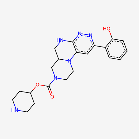 O=C(OC1CCNCC1)N1CCN2c3cc(-c4ccccc4O)nnc3NCC2C1